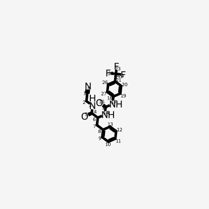 N#CCNC(=O)C(Cc1ccccc1)NC(=O)Nc1ccc(C(F)(F)F)cc1